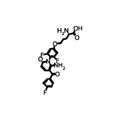 Nc1c(C(=O)c2ccc(F)cc2)ccc(=O)n1-c1c(F)cc(OCCC[C@H](N)C(=O)O)cc1F